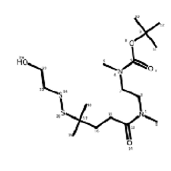 CN(CCN(C)C(=O)OC(C)(C)C)C(=O)CCC(C)(C)SSCCO